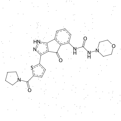 O=C(Nc1cccc2c1C(=O)c1c(-c3ccc(C(=O)N4CCCC4)s3)n[nH]c1-2)NN1CCOCC1